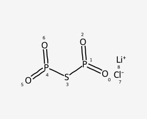 O=P(=O)SP(=O)=O.[Cl-].[Li+]